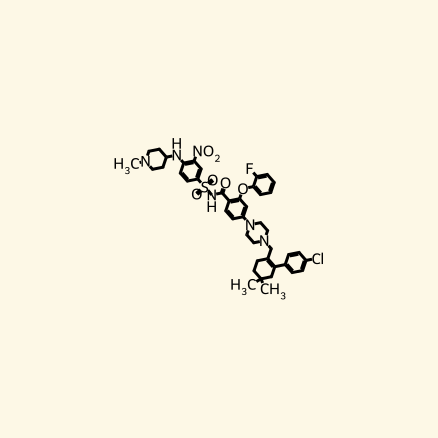 CN1CCC(Nc2ccc(S(=O)(=O)NC(=O)c3ccc(N4CCN(CC5=C(c6ccc(Cl)cc6)CC(C)(C)CC5)CC4)cc3Oc3ccccc3F)cc2[N+](=O)[O-])CC1